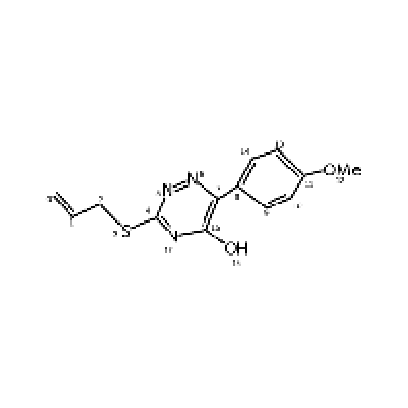 C=CCSc1nnc(-c2ccc(OC)cc2)c(O)n1